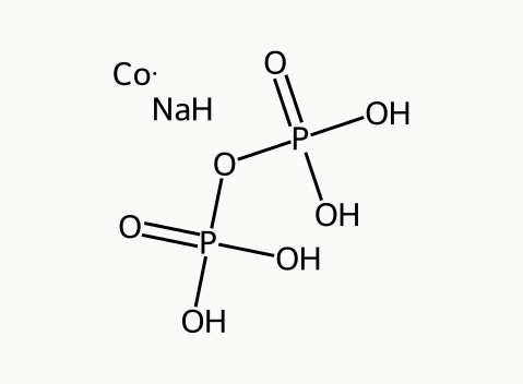 O=P(O)(O)OP(=O)(O)O.[Co].[NaH]